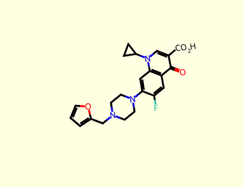 O=C(O)c1cn(C2CC2)c2cc(N3CCN(Cc4ccco4)CC3)c(F)cc2c1=O